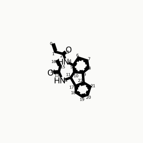 C=CC(=O)Nc1cccc2c1C(NC(=O)C=C)c1ccccc1-2